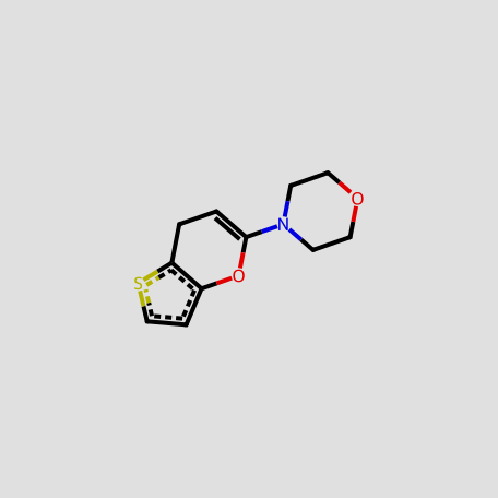 C1=C(N2CCOCC2)Oc2ccsc2C1